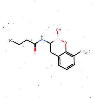 CCOC(=O)c1cccc2c1OB(O)C(NC(=O)CCC#N)C2